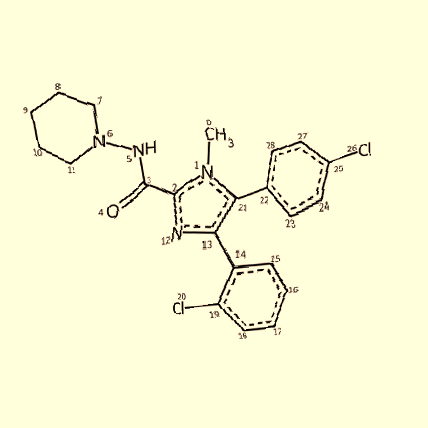 Cn1c(C(=O)NN2CCCCC2)nc(-c2ccccc2Cl)c1-c1ccc(Cl)cc1